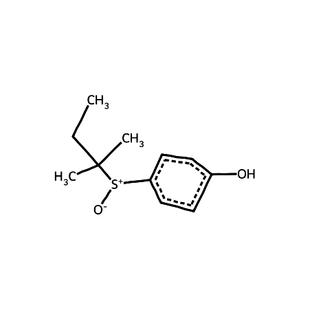 CCC(C)(C)[S+]([O-])c1ccc(O)cc1